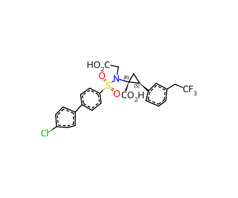 O=C(O)CN([C@]1(C(=O)O)C[C@H]1c1cccc(CC(F)(F)F)c1)S(=O)(=O)c1ccc(-c2ccc(Cl)cc2)cc1